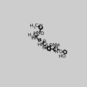 COc1c(-c2cnc(CO[C@H]3CCC[C@@H]3O)nc2)ccc2nc(NC(=O)[C@H]3C[C@@H](N[C@@H](C)CNC(=O)c4ccnc(C)c4)C3)sc12